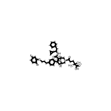 CC(C)(CCC(=O)N1C[C@H]2CC(c3ccc(CCCOc4cc(F)ccc4Br)cc3)=C(C(=O)NC(Cc3ccccc3)C3CC3)[C@@H](C1)N2)C(=O)O